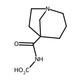 O=C(O)NC(=O)C12CCCN(CC1)C2